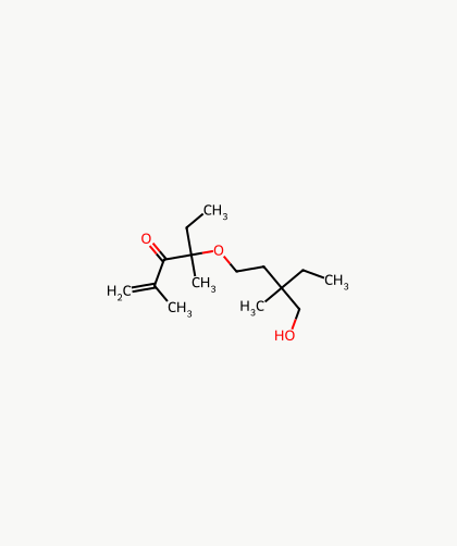 C=C(C)C(=O)C(C)(CC)OCCC(C)(CC)CO